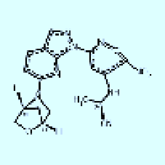 C[C@H](C#N)Nc1cc(-n2ncc3ccc(N4C[C@H]5C[C@@H]4CO5)nc32)ncc1[N+](=O)[O-]